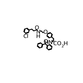 O=C(CCc1cccc(Cl)c1)NCCOc1ccc(C[C@H](Nc2ccccc2C(=O)c2ccccc2)C(=O)O)cc1